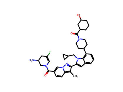 Cc1c(-c2cc3cccc(C4CCN(C(=O)C5CCCC(O)C5)CC4)c3n2CC2CC2)nn2cc(C(=O)N3C=C(F)CC(N)C3)ccc12